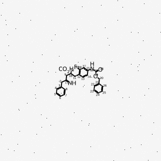 N=C(Cc1ccccc1)CC(Cc1ccc(NC(=O)OCc2ccccc2)cc1F)C(=O)O